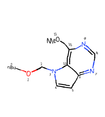 CCCCOCn1ccc2ncnc(OC)c21